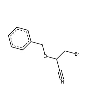 N#CC(CBr)OCc1ccccc1